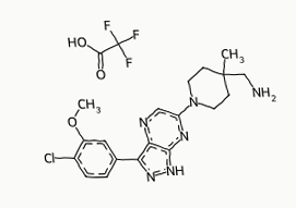 COc1cc(-c2n[nH]c3nc(N4CCC(C)(CN)CC4)cnc23)ccc1Cl.O=C(O)C(F)(F)F